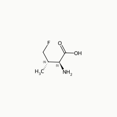 C[C@H](CF)[C@H](N)C(=O)O